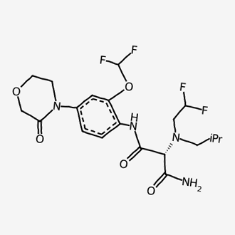 CC(C)CN(CC(F)F)[C@H](C(N)=O)C(=O)Nc1ccc(N2CCOCC2=O)cc1OC(F)F